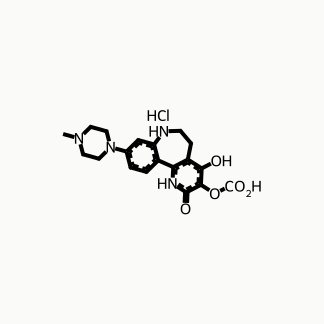 CN1CCN(c2ccc3c(c2)NCCc2c-3[nH]c(=O)c(OC(=O)O)c2O)CC1.Cl